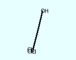 OCCCCCCCCCCCCCCCCCCCCCCCCCCCCCCCCCCCC[Si](Cl)(Cl)Cl